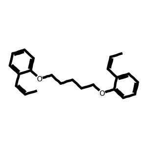 C/C=C\c1ccccc1OCCCCCOc1ccccc1/C=C\C